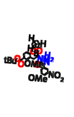 COc1ccc(C(N)C(=O)NC(Cc2cccc(C(=O)OC(C)(C)C)c2OC)B2O[C@@H]3C[C@@H]4C[C@@H](C4(C)C)[C@]3(C)O2)cc1[N+](=O)[O-]